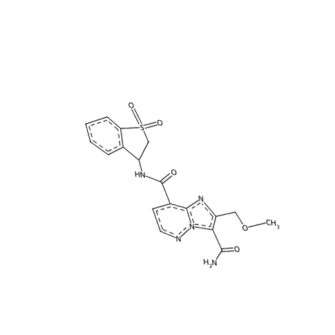 COCc1nc2c(C(=O)NC3CS(=O)(=O)c4ccccc43)ccnn2c1C(N)=O